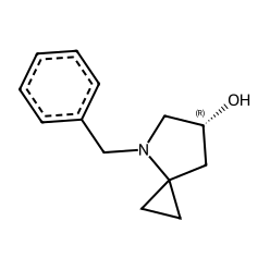 O[C@H]1CN(Cc2ccccc2)C2(CC2)C1